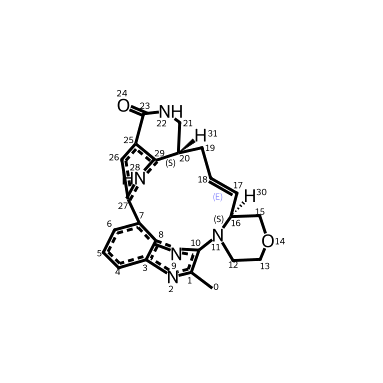 Cc1nc2cccc3c2nc1N1CCOC[C@@H]1/C=C/C[C@H]1CNC(=O)c2cc-3[nH]c21